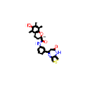 Cc1c(C)c2c(c(C)c1O)CC[C@](C)(C(=O)Nc1cccc(C3=Nc4cscc4NC(=O)C3)c1)O2